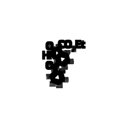 CCOC(=O)C1C(=O)Nc2c(C(=O)c3ccccc3)cccc21